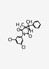 C[C@]12C(=O)N(c3cc(Cl)cc(Cl)c3)C(=O)[C@H]1[C@@]2(C)c1ccccc1